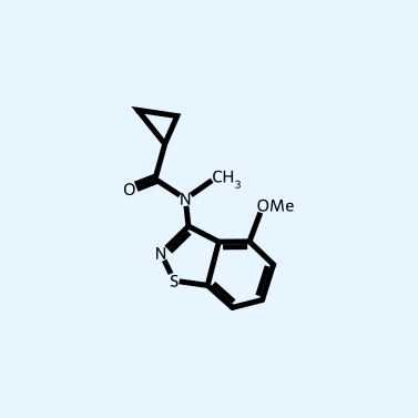 COc1cccc2snc(N(C)C(=O)C3CC3)c12